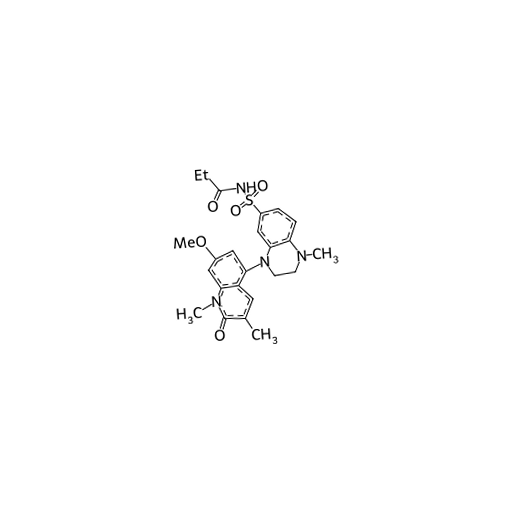 CCC(=O)NS(=O)(=O)c1ccc2c(c1)N(c1cc(OC)cc3c1cc(C)c(=O)n3C)CCN2C